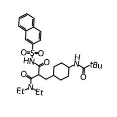 CCN(CC)C(=O)C(CC1CCC(NC(=O)C(C)(C)C)CC1)C(=O)NS(=O)(=O)c1ccc2ccccc2c1